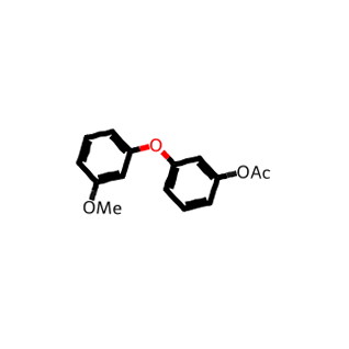 COc1cccc(Oc2cccc(OC(C)=O)c2)c1